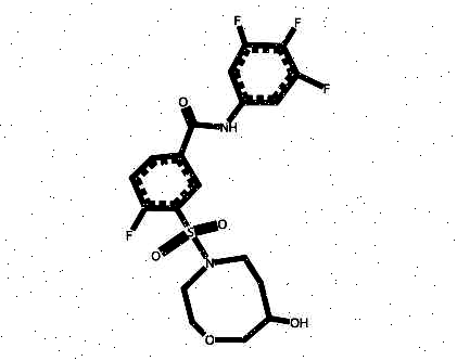 O=C(Nc1cc(F)c(F)c(F)c1)c1ccc(F)c(S(=O)(=O)N2CCOCC(O)CC2)c1